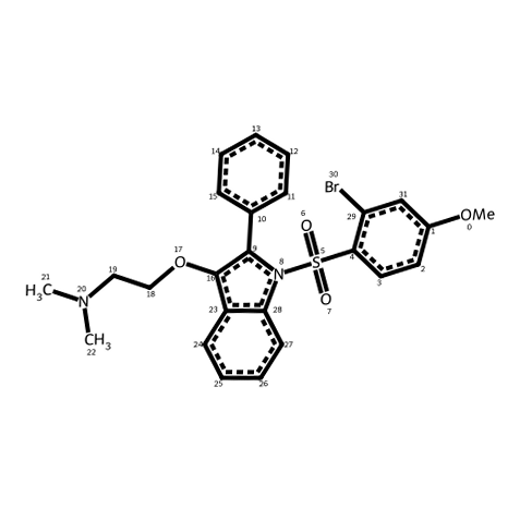 COc1ccc(S(=O)(=O)n2c(-c3ccccc3)c(OCCN(C)C)c3ccccc32)c(Br)c1